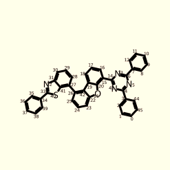 c1ccc(-c2nc(-c3ccccc3)nc(-c3cccc4c3oc3cccc(-c5cccc6nc(-c7ccccc7)sc56)c34)n2)cc1